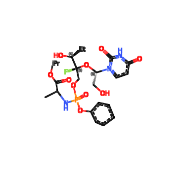 CC[C@H](O)[C@@](F)(COP(=O)(NC(C)C(=O)OC(C)C)Oc1ccccc1)O[C@@H](CO)n1ccc(=O)[nH]c1=O